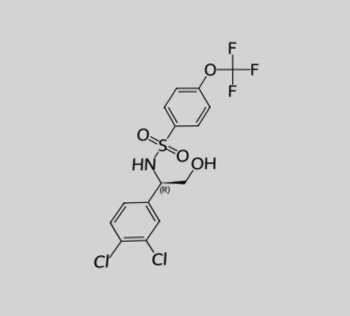 O=S(=O)(N[C@@H](CO)c1ccc(Cl)c(Cl)c1)c1ccc(OC(F)(F)F)cc1